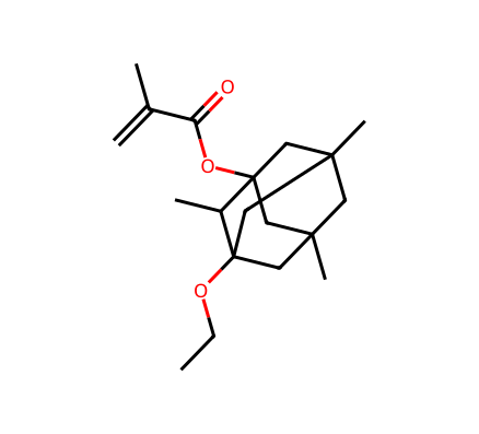 C=C(C)C(=O)OC12CC3(C)CC(C)(CC(OCC)(C3)C1C)C2